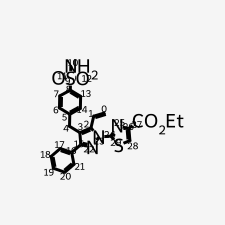 C=Cc1c(Cc2ccc(S(N)(=O)=O)cc2)c(-c2ccccc2)nn1-c1nc(C(=O)OCC)cs1